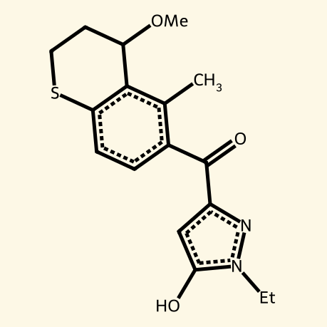 CCn1nc(C(=O)c2ccc3c(c2C)C(OC)CCS3)cc1O